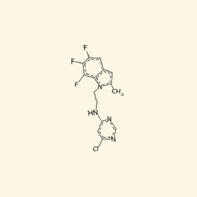 Cc1cc2cc(F)c(F)c(F)c2n1CCNc1cc(Cl)ncn1